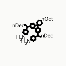 CCCCCCCCCCCC(c1ccc(N)cc1)c1ccc(C2(c3ccc(C(CCCCCCCCCCC)c4ccc(N)cc4)cc3)CCC(CCCCCCCC)CC2)cc1